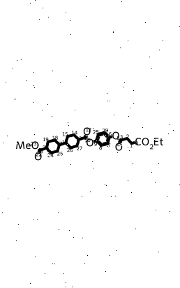 CCOC(=O)CCC(=O)Oc1ccc(OC(=O)C2CCC(C3CCC(C(=O)OC)CC3)CC2)cc1